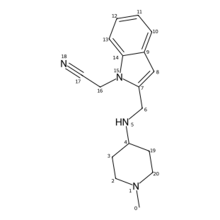 CN1CCC(NCc2cc3ccccc3n2CC#N)CC1